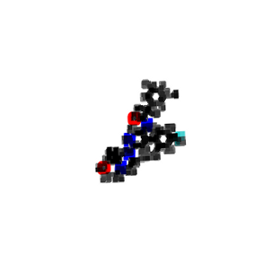 Cc1cc(C)cc(C(C)(C)C(=O)N(C)c2cnc(N3C[C@H]4COCCN4C[C@H]3C)cc2-c2ccc(F)cc2C)c1